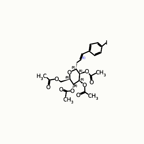 CC(=O)OC[C@H]1O[C@H](C/C=C/c2ccc(I)cc2)[C@@H](OC(C)=O)[C@@H](OC(C)=O)[C@@H]1OC(C)=O